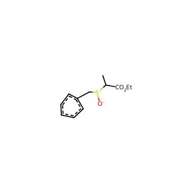 CCOC(=O)C(C)[S+]([O-])Cc1ccccc1